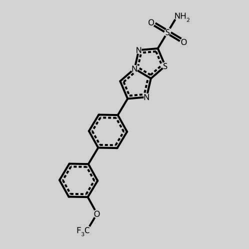 NS(=O)(=O)c1nn2cc(-c3ccc(-c4cccc(OC(F)(F)F)c4)cc3)nc2s1